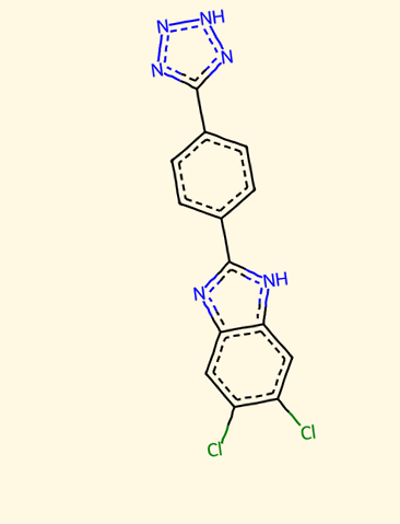 Clc1cc2nc(-c3ccc(-c4nn[nH]n4)cc3)[nH]c2cc1Cl